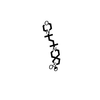 CC(C)(CCC(C)(C)N1CCC2(CC1)CCS(=O)(=O)C2)N1CCOCC1